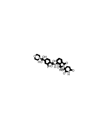 O=C1CCC(O)(N2C(=O)c3cccc(NC(O)(O)c4ccc(C(O)(O)N5CCOCC5)cc4F)c3C2(O)O)C(=O)N1